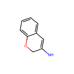 [NH]C1=Cc2ccccc2OC1